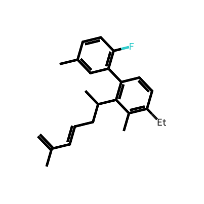 C=C(C)/C=C/CC(C)c1c(-c2cc(C)ccc2F)ccc(CC)c1C